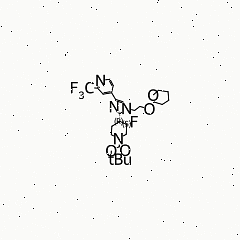 CC(C)(C)OC(=O)N1CC[C@H](c2nc(-c3ccnc(C(F)(F)F)c3)cn2CCOC2CCCCO2)[C@H](F)C1